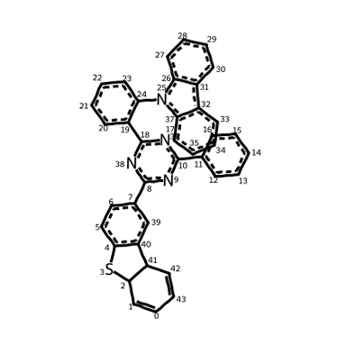 C1=CC2Sc3ccc(-c4nc(-c5ccccc5)nc(-c5ccccc5-n5c6ccccc6c6ccccc65)n4)cc3C2C=C1